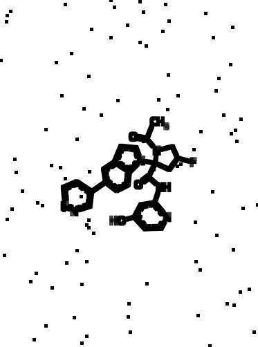 CC(=O)N1CC(F)CC1(C(=O)Nc1cc(O)ccn1)n1ccc2cc(-c3ccnnc3)ccc21